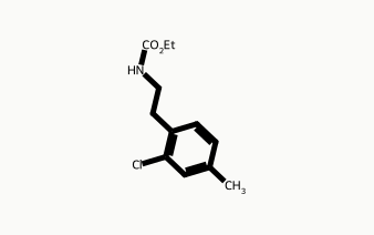 CCOC(=O)NCCc1ccc(C)cc1Cl